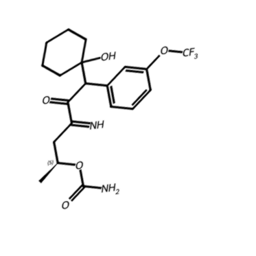 C[C@@H](CC(=N)C(=O)C(c1cccc(OC(F)(F)F)c1)C1(O)CCCCC1)OC(N)=O